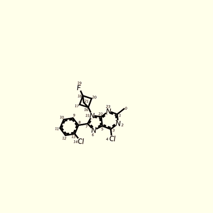 Cc1nc(Cl)c2nc(-c3ccccc3Cl)n(C34CC(F)(C3)C4)c2n1